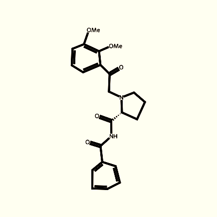 COc1cccc(C(=O)CN2CCC[C@@H]2C(=O)NC(=O)c2ccccc2)c1OC